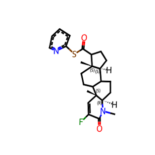 CN1C(=O)C(F)=C[C@]2(C)C3CC[C@]4(C)C(C(=O)Sc5ccccn5)CC[C@H]4C3CC[C@@H]12